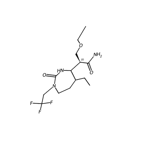 CCOC[C@@H](C(N)=O)C1NC(=O)N(CC(F)(F)F)CCC1CC